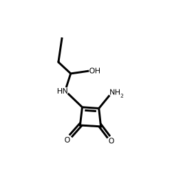 CCC(O)Nc1c(N)c(=O)c1=O